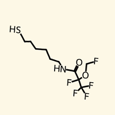 O=C(NCCCCCCS)C(F)(OCF)C(F)(F)F